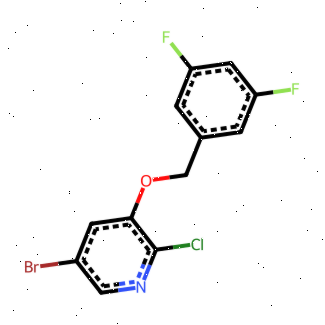 Fc1cc(F)cc(COc2cc(Br)cnc2Cl)c1